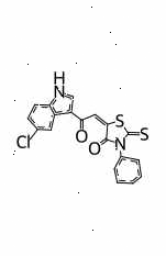 O=C(/C=C1/SC(=S)N(c2ccccc2)C1=O)c1c[nH]c2ccc(Cl)cc12